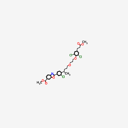 COC(=O)CCc1cc(Cl)c(OCCCOCCCC(C)c2ccc(-c3nc4ccc(C(=O)OC)cc4o3)cc2Cl)c(Cl)c1